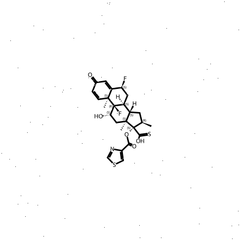 C[C@@H]1C[C@H]2[C@@H]3C[C@H](F)C4=CC(=O)C=C[C@]4(C)[C@@]3(F)[C@@H](O)C[C@]2(C)[C@]1(OC(=O)c1cscn1)C(O)=S